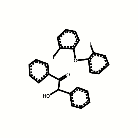 Ic1ccccc1Oc1ccccc1I.O=C(c1ccccc1)C(O)c1ccccc1